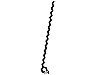 [CH2]CCCCCCCCCCCCCCCCCCCCCCCCCCCC1CCNCC1